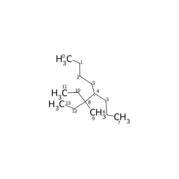 CCCC[C](CCC)C(C)(CC)CC